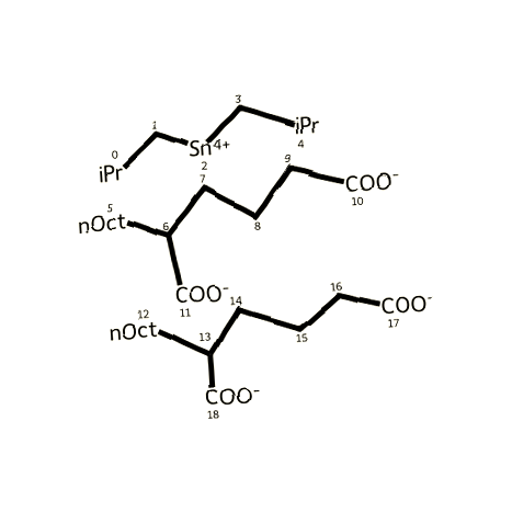 CC(C)[CH2][Sn+4][CH2]C(C)C.CCCCCCCCC(CCCC(=O)[O-])C(=O)[O-].CCCCCCCCC(CCCC(=O)[O-])C(=O)[O-]